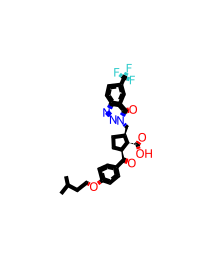 CC(C)CCOc1ccc(C(=O)[C@H]2CC[C@@H](Cn3nnc4ccc(C(F)(F)F)cc4c3=O)[C@@H]2C(=O)O)cc1